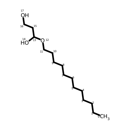 CCCCCCCCCCCCOC(O)CCO